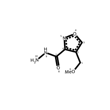 COCc1conc1C(=O)NN